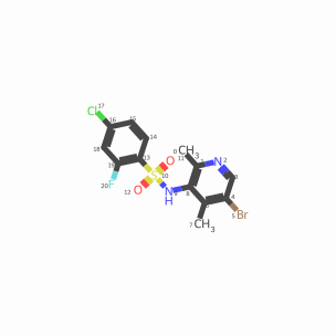 Cc1ncc(Br)c(C)c1NS(=O)(=O)c1ccc(Cl)cc1F